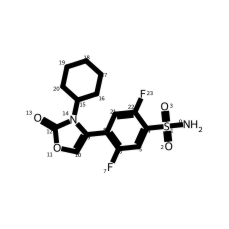 NS(=O)(=O)c1cc(F)c(-c2coc(=O)n2C2CCCCC2)cc1F